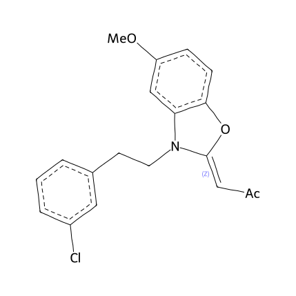 COc1ccc2c(c1)N(CCc1cccc(Cl)c1)/C(=C/C(C)=O)O2